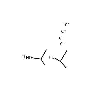 CC(C)O.CC(C)O.[Cl-].[Cl-].[Cl-].[Cl-].[Ti+4]